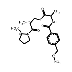 CC(NC(=O)c1ccc(CO[N+](=O)[O-])cc1)C(=O)SC[C@@H](C)C(=O)N1CCC[C@H]1C(=O)O